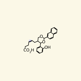 O=C(O)CC/C=C\CC1COC(c2ccc3ccccc3c2)OC1c1ccccc1O